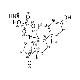 C[C@]12CC[C@@H]3c4ccc(O)cc4CC[C@H]3[C@@H]1CCC2=O.O=S(=O)(O)O.[NaH]